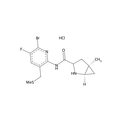 CSCc1cc(F)c(Br)nc1NC(=O)C1C[C@@]2(C)C[C@H]2N1.Cl